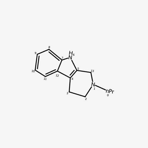 CCCN1CCc2c([nH]c3ccccc23)C1